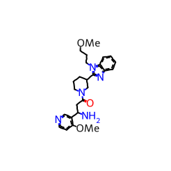 COCCCn1c(C2CCCN(C(=O)CC(N)c3cnccc3OC)C2)nc2ccccc21